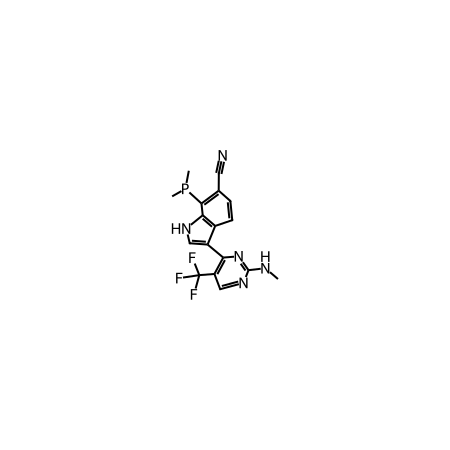 CNc1ncc(C(F)(F)F)c(-c2c[nH]c3c(P(C)C)c(C#N)ccc23)n1